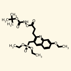 CCOc1ccc2cc(CP(=O)(OCC)OCC)c(CCC(=O)ONC(=O)OC(C)(C)C)nc2c1